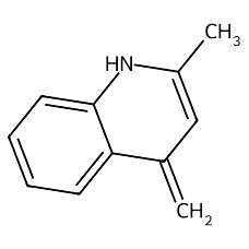 C=C1C=C(C)Nc2ccccc21